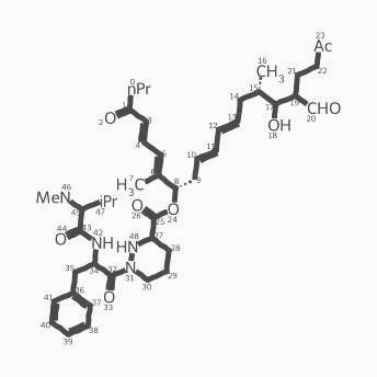 CCCC(=O)/C=C/C=C(\C)[C@H](C/C=C/C=C/C[C@H](C)C(O)C(C=O)CCC(C)=O)OC(=O)C1CCCN(C(=O)C(Cc2ccccc2)NC(=O)C(NC)C(C)C)N1